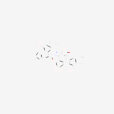 COc1cc(/C(=C\c2cccc([N+](=O)[O-])c2)C(=O)N[C@@H]2c3cc4c(cc3[C@@H](c3cc(CO)c(OC)c(OC)c3)[C@H]3C(=O)OC[C@@H]32)OCO4)cc(CO)c1OC